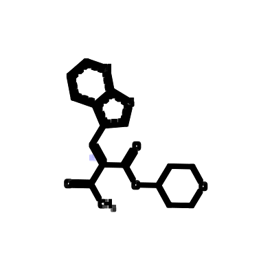 CC(=O)/C(=C/c1csc2ncccc12)C(=O)OC1CCOCC1